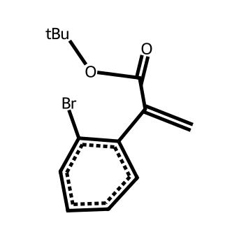 C=C(C(=O)OC(C)(C)C)c1ccccc1Br